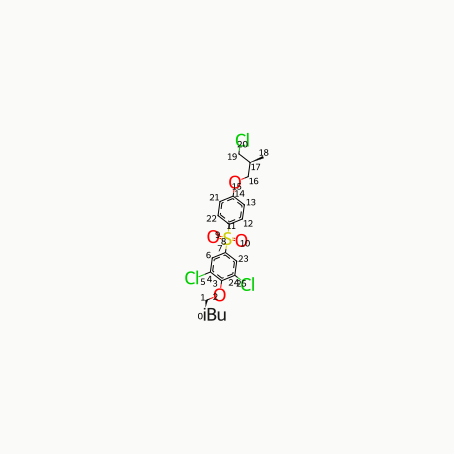 CC[C@H](C)COc1c(Cl)cc(S(=O)(=O)c2ccc(OC[C@H](C)CCl)cc2)cc1Cl